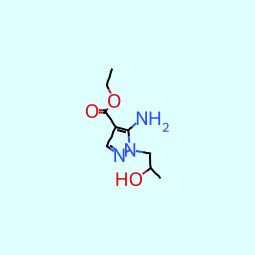 CCOC(=O)c1cnn(CC(C)O)c1N